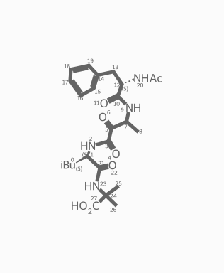 CC[C@H](C)[C@H](NC(=O)C(=O)C(C)NC(=O)[C@H](Cc1ccccc1)NC(C)=O)C(=O)NC(C)(C)C(=O)O